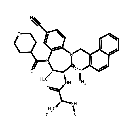 CN[C@@H](C)C(=O)N[C@@H]1C(=O)N(Cc2c(OC)ccc3ccccc23)c2ccc(C#N)cc2N(C(=O)C2CCOCC2)[C@H]1C.Cl